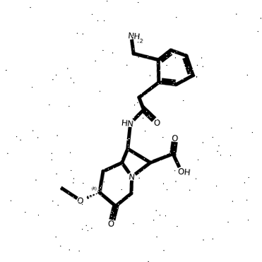 CO[C@@H]1CC2C(NC(=O)Cc3ccccc3CN)C(C(=O)O)N2CC1=O